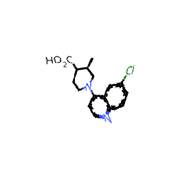 CC1CN(c2ccnc3ccc(Cl)cc23)CCC1C(=O)O